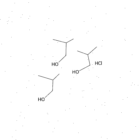 CC(C)CO.CC(C)CO.CC(C)CO.Cl